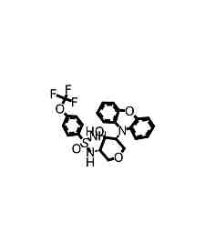 N=S(=O)(N[C@H]1COC[C@H](N2c3ccccc3Oc3ccccc32)[C@@H]1O)c1ccc(OC(F)(F)F)cc1